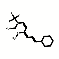 COC(/C=C\N(CN)C(F)(F)F)=C/C=C/C1CCCCC1